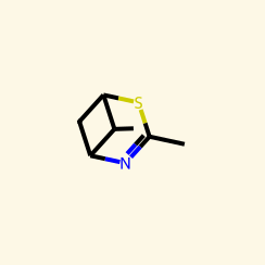 CC1=NC2CC(S1)C2C